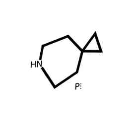 C1CC2(CCN1)CC2.[P]